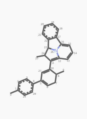 Cc1ccc(C2=CCC(C)C(C3=C4C=CC=C5c6ccccc6C(C3C)N54)=C2)cc1